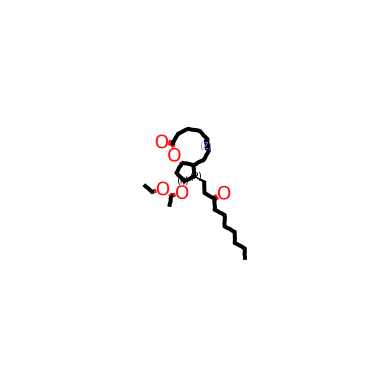 CCCCCCCC(=O)CC[C@@H]1C2C/C=C\CCCC(=O)OC2C[C@H]1OC(C)OCC